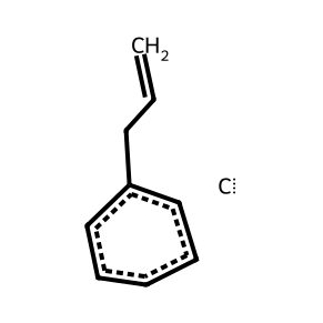 C=CCc1ccccc1.[C]